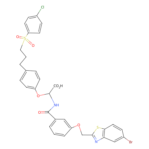 O=C(NC(Oc1ccc(CCCS(=O)(=O)c2ccc(Cl)cc2)cc1)C(=O)O)c1cccc(OCc2nc3cc(Br)ccc3s2)c1